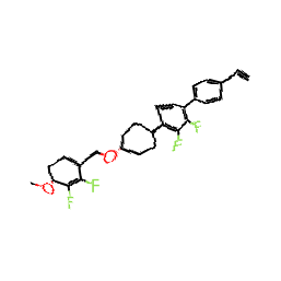 C=Cc1ccc(-c2ccc(C3CCC(OCC4CCC(OC)C(F)=C4F)CC3)c(F)c2F)cc1